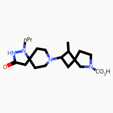 CCCN1NC(=O)CC12CCN(C1CC3(CCN(C(=O)O)C3)C1C)CC2